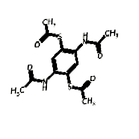 CC(=O)Nc1cc(SC(C)=O)c(NC(C)=O)cc1SC(C)=O